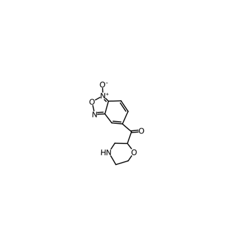 O=C(c1ccc2c(c1)no[n+]2[O-])C1CNCCO1